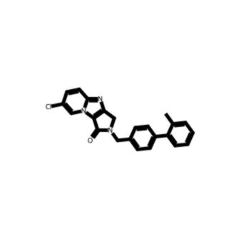 Cc1ccccc1-c1ccc(CN2Cc3nc4ccc(Cl)cn4c3C2=O)cc1